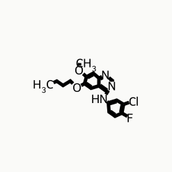 CCCCOc1cc2c(Nc3ccc(F)c(Cl)c3)ncnc2cc1OC